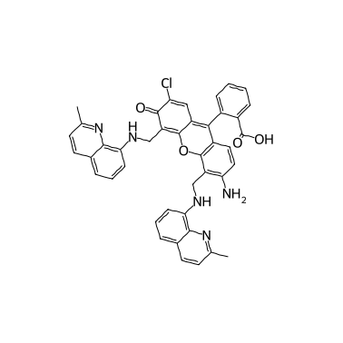 Cc1ccc2cccc(NCc3c4oc5c(CNc6cccc7ccc(C)nc67)c(N)ccc5c(-c5ccccc5C(=O)O)c-4cc(Cl)c3=O)c2n1